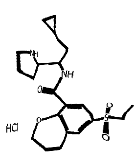 CCS(=O)(=O)c1cc2c(c(C(=O)NC(CC3CC3)C3CCCN3)c1)OCCC2.Cl